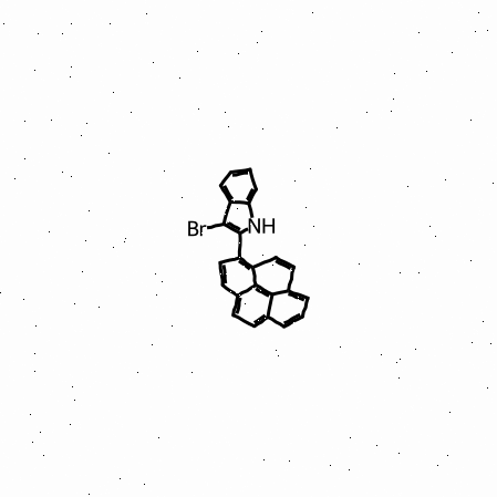 Brc1c(-c2ccc3ccc4cccc5ccc2c3c45)[nH]c2ccccc12